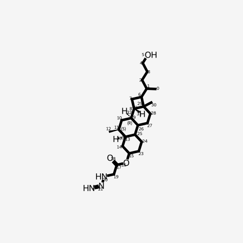 CC(CCCO)C1C[C@H]2[C@@H]3C[C@H](C)[C@@H]4CC(OC(=O)CNN=N)CCC4C3CCC12C